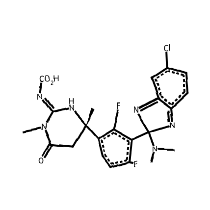 CN1C(=O)C[C@@](C)(c2ccc(F)c(C3(N(C)C)N=c4ccc(Cl)cc4=N3)c2F)N/C1=N\C(=O)O